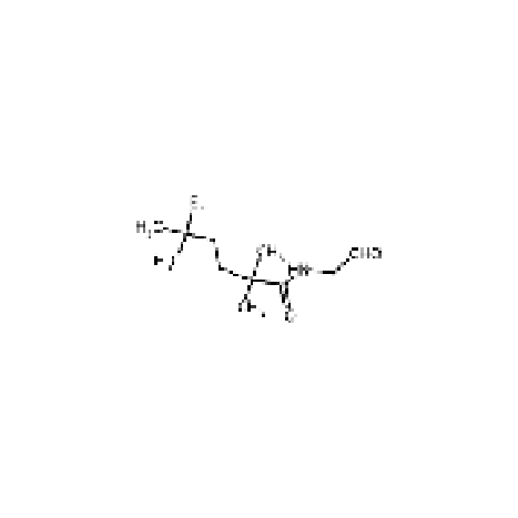 CCC(C)(C)CCC(C)(C)C(=O)NCC=O